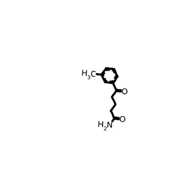 Cc1cccc(C(=O)CCCC(N)=O)c1